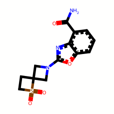 NC(=O)c1[c]ccc2oc(N3CC4(CCS4(=O)=O)C3)nc12